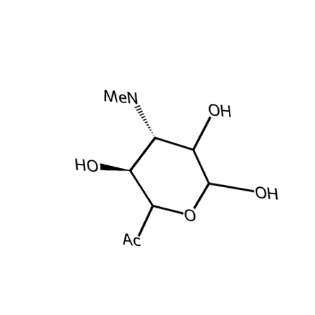 CN[C@@H]1C(O)C(O)OC(C(C)=O)[C@H]1O